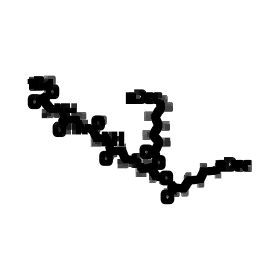 CCCCCCCCCCCCCCCC(=O)OCC(CSCCC(=O)NCC(=O)NCC(=O)NCC(=O)OC(C)(C)C)OC(=O)CCCCCCCCCCCCCCC